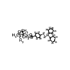 CC(C)(C)C(C)(C)CCOBc1ccc(CCC2c3ccccc3-c3ccccc32)cc1